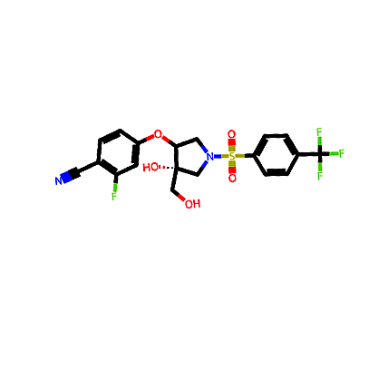 N#Cc1ccc(OC2CN(S(=O)(=O)c3ccc(C(F)(F)F)cc3)C[C@@]2(O)CO)cc1F